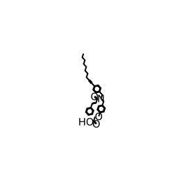 CCCCCCCCC#Cc1ccc(CN(Cc2ccc(OCC(=O)O)cc2)C(=O)/C=C/c2ccccc2)cc1